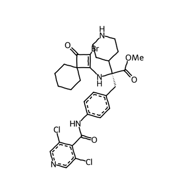 COC(=O)[C@@](Cc1ccc(NC(=O)c2c(Cl)cncc2Cl)cc1)(NC1=C(Br)C(=O)C12CCCCC2)C1CCNCC1